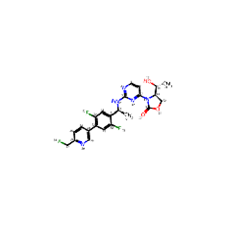 C[C@H](Nc1nccc(N2C(=O)OC[C@@H]2[C@@H](C)O)n1)c1cc(F)c(-c2ccc(CF)nc2)cc1F